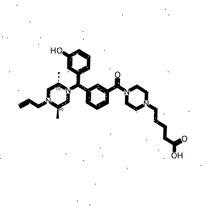 C=CCN1C[C@H](C)N(C(c2cccc(O)c2)c2cccc(C(=O)N3CCN(CCCCC(=O)O)CC3)c2)C[C@H]1C